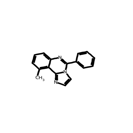 Cc1cccc2nc(-c3ccccc3)n3ccnc3c12